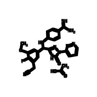 CC(=O)O.COc1cc(C(Nc2ccc(C(=N)N)cc2)c2nn(-c3cccnn3)c(=O)[nH]2)cc(CC#N)c1F